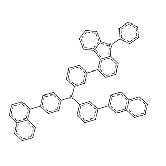 c1ccc(-n2c3ccccc3c3c(-c4cccc(N(c5ccc(-c6cccc7ccccc67)cc5)c5cccc(-c6ccc7ccccc7c6)c5)c4)cccc32)cc1